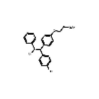 CCC(c1ccccc1)C(c1ccc(O)cc1)c1ccc(OCCNC)cc1